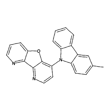 Cc1ccc2c(c1)c1ccccc1n2-c1ccnc2c1oc1cccnc12